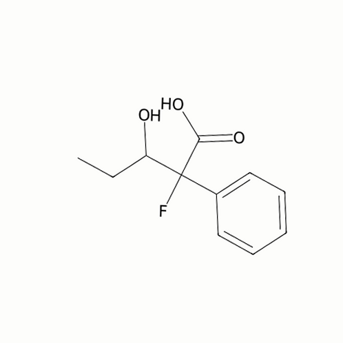 CCC(O)C(F)(C(=O)O)c1ccccc1